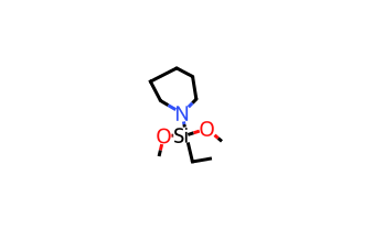 CC[Si](OC)(OC)N1CCCCC1